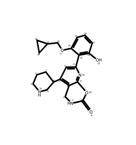 O=C1NCc2c(C3CCCNC3)cc(-c3c(O)cccc3OCC3CC3)nc2O1